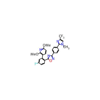 COc1ccc(-c2cc(F)ccc2-c2nc(-c3ccc(-c4nc(C(F)(F)F)cn4C)cc3)no2)c(OC)n1